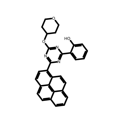 Oc1ccccc1-c1nc(OC2CCOCC2)nc(-c2ccc3ccc4cccc5ccc2c3c45)n1